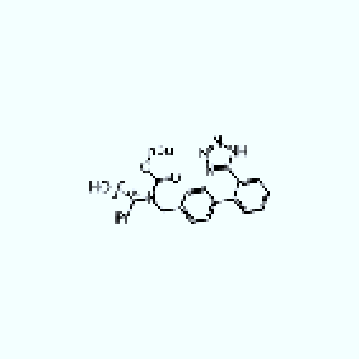 CCCCOC(=O)N(Cc1ccc(-c2ccccc2-c2nnn[nH]2)cc1)[C@H](C(=O)O)C(C)C